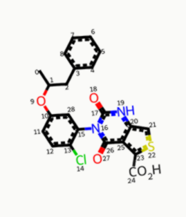 CC(Cc1ccccc1)Oc1ccc(Cl)c(-n2c(=O)[nH]c3csc(C(=O)O)c3c2=O)c1